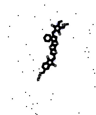 C/C=C1/C(=O)/C(=C/C2=Cc3sc4c(sc5cc(/C=C6\C(=O)C7=CCC(CN=[N+]=[N-])C=C7C6=O)sc54)c3C23CCCCC3)C(=O)/C1=C/NC